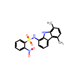 Cc1ccc(C)c2c1[nH]c1c(NS(=O)(=O)c3ccccc3[N+](=O)[O-])cccc12